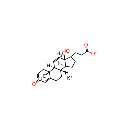 C[C@]12CCC(=O)C=C1CC[C@@H]1[C@@H]2C=C[C@@]2(C)[C@H]1CC[C@]2(O)CCC(=O)[O-].[K+]